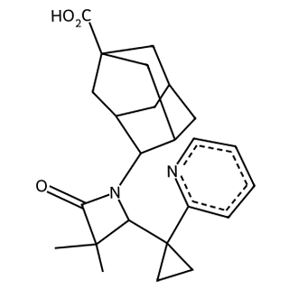 CC1(C)C(=O)N(C2C3CC4CC2CC(C(=O)O)(C4)C3)C1C1(c2ccccn2)CC1